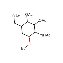 CCOC1CC(COC(C)=O)C(OC(C)=O)C(OC(C)=O)C1NC(C)=O